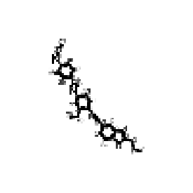 CCCC1=Cc2cc(C#Cc3ccc(N=Nc4ccc(N=C=S)c(F)c4)cc3CC)ccc2C1